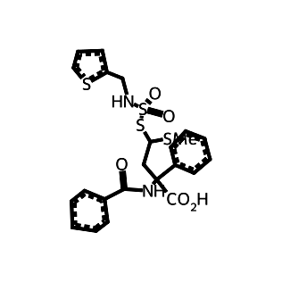 CSC(CC(NC(=O)c1ccccc1)(C(=O)O)c1ccccc1)SS(=O)(=O)NCc1cccs1